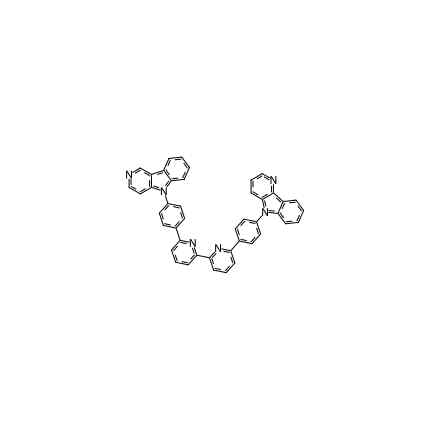 c1cc(-c2ccc(-n3c4ccccc4c4cnccc43)cc2)nc(-c2cccc(-c3ccc(-n4c5ccccc5c5ncccc54)cc3)n2)c1